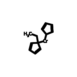 CC[C]1([Cr][CH]2C=CC=C2)C=CC=C1